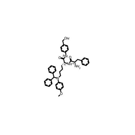 COc1ccc(N(CCCC[C@@H](NC(=O)[C@H](N)Cc2ccccc2)C(=O)Nc2ccc(CO)cc2)C(c2ccccc2)c2ccccc2)cc1